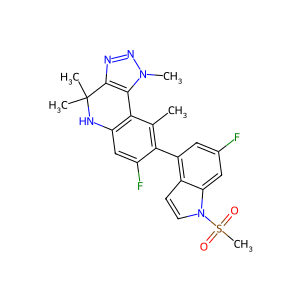 Cc1c(-c2cc(F)cc3c2ccn3S(C)(=O)=O)c(F)cc2c1-c1c(nnn1C)C(C)(C)N2